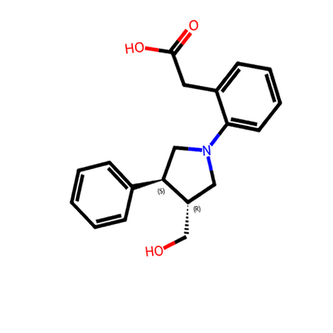 O=C(O)Cc1ccccc1N1C[C@H](CO)[C@@H](c2ccccc2)C1